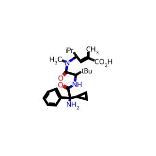 C/C(=C\C(C(C)C)N(C)C(=O)C(NC(=O)C(N)(c1ccccc1)C1CC1)C(C)(C)C)C(=O)O